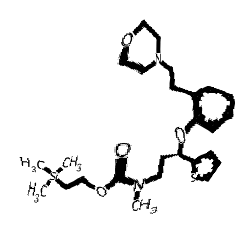 CN(CC[C@@H](Oc1ccccc1CCN1CCOCC1)c1cccs1)C(=O)OCC[Si](C)(C)C